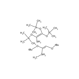 C[SiH2]C(=COC(C)(C)C)OC(C)(C)C.C[Si](C)(C)OC([SiH3])=C(O[Si](C)(C)C)O[Si](C)(C)C